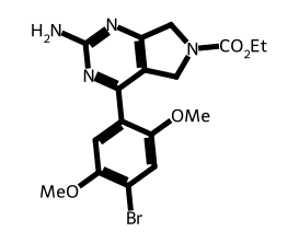 CCOC(=O)N1Cc2nc(N)nc(-c3cc(OC)c(Br)cc3OC)c2C1